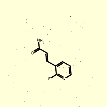 NC(=O)C=Cc1cccnc1F